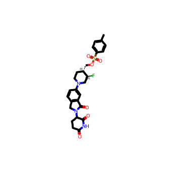 Cc1ccc(S(=O)(=O)OC[C@H]2CCN(c3ccc4c(c3)C(=O)N(C3CCC(=O)NC3=O)C4)C[C@@H]2F)cc1